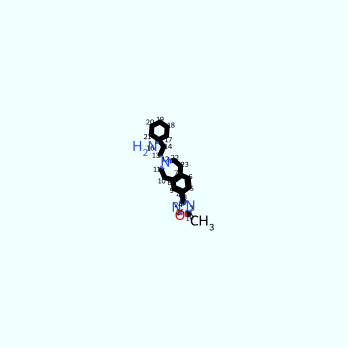 Cc1nc(-c2ccc3c(c2)CCN(CCC2(N)CCCCC2)CC3)no1